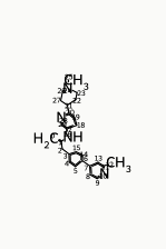 C=C(Cc1ccc(-c2ccnc(C)c2)cc1)Nc1ccc(C2CCN(C)CC2)nc1